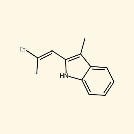 CC/C(C)=C/c1[nH]c2ccccc2c1C